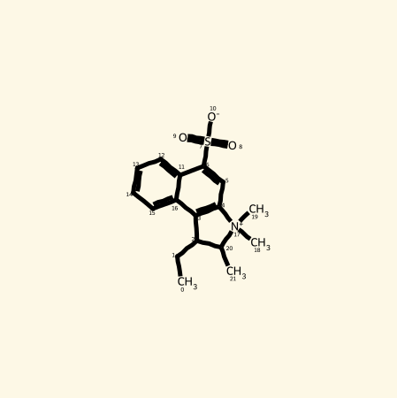 CCC1c2c(cc(S(=O)(=O)[O-])c3ccccc23)[N+](C)(C)C1C